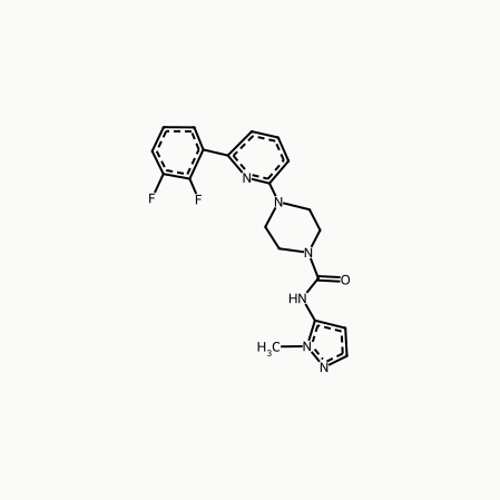 Cn1nccc1NC(=O)N1CCN(c2cccc(-c3cccc(F)c3F)n2)CC1